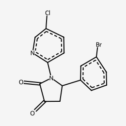 O=C1CC(c2cccc(Br)c2)N(c2ccc(Cl)cn2)C1=O